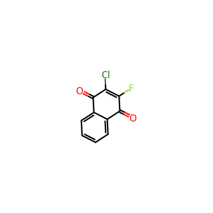 O=C1C(F)=C(Cl)C(=O)c2ccccc21